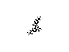 CCS(=O)(=O)c1ccc(N(C)C(=O)N(C)C)nc1-c1nc2cc(C(F)(F)F)ncc2n1C